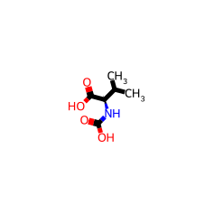 CC(C)[C@@H](NC(=O)O)C(=O)O